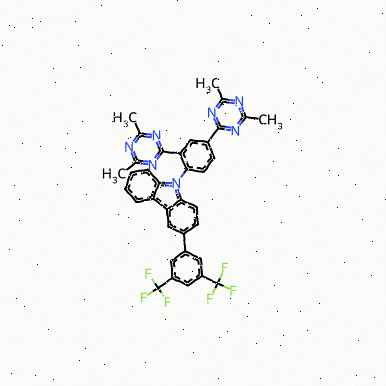 Cc1nc(C)nc(-c2ccc(-n3c4ccccc4c4cc(-c5cc(C(F)(F)F)cc(C(F)(F)F)c5)ccc43)c(-c3nc(C)nc(C)n3)c2)n1